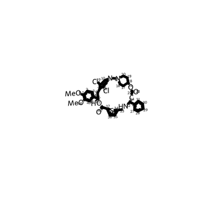 COc1ccc([C@@H]2CC3=C(Cl)CN(C=C3Cl)N3CCC(CC3)OC(=O)CC(c3ccccc3)NCc3ccc(s3)C(=O)O2)cc1OC